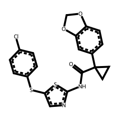 O=C(Nc1ncc(Sc2ccc(Cl)cc2)s1)C1(c2ccc3c(c2)OCO3)CC1